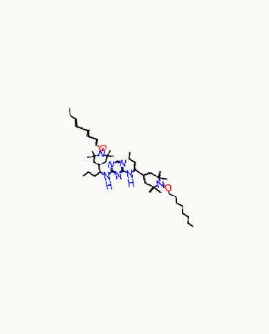 CCCCCCCCON1C(C)(C)CC(C(CCC)Nc2ncnc(NC(CCC)C3CC(C)(C)N(OCCCCCCCC)C(C)(C)C3)n2)CC1(C)C